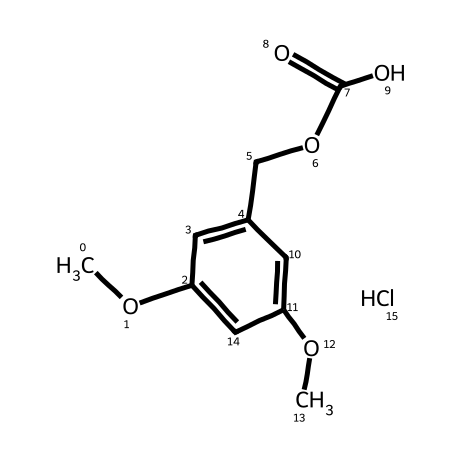 COc1cc(COC(=O)O)cc(OC)c1.Cl